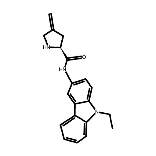 C=C1CN[C@H](C(=O)Nc2ccc3c(c2)c2ccccc2n3CC)C1